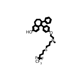 CN(CCCSCCCC(F)(F)C(F)(F)F)CCOc1ccc(C2=C(c3ccccc3)CCCc3cc(O)ccc32)cc1